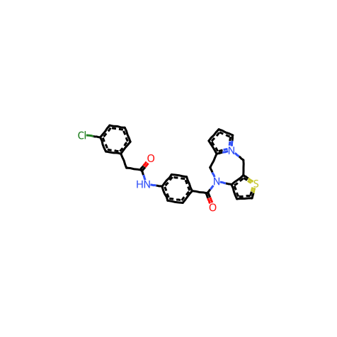 O=C(Cc1cccc(Cl)c1)Nc1ccc(C(=O)N2Cc3cccn3Cc3sccc32)cc1